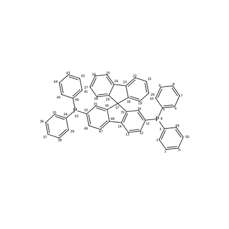 c1ccc(P(c2ccccc2)c2ccc3c(c2)C2(c4ccccc4-c4ccccc42)c2cc(P(c4ccccc4)c4ccccc4)ccc2-3)cc1